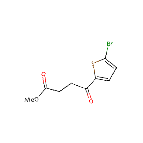 COC(=O)CCC(=O)c1ccc(Br)s1